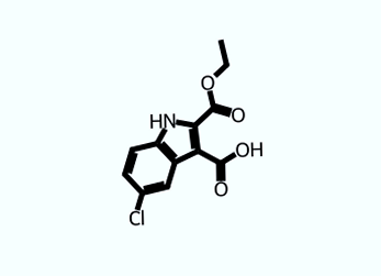 CCOC(=O)c1[nH]c2ccc(Cl)cc2c1C(=O)O